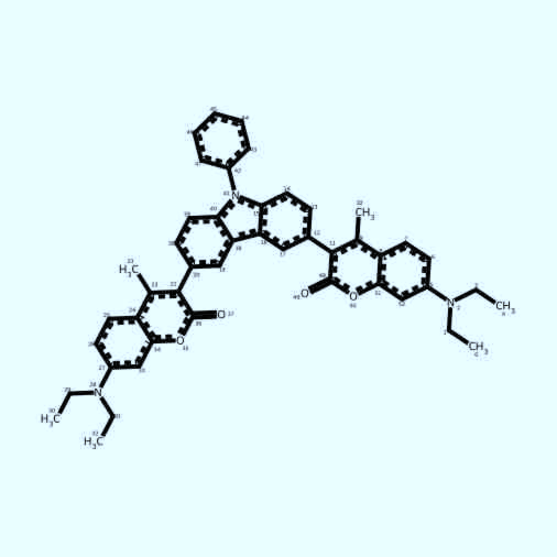 CCN(CC)c1ccc2c(C)c(-c3ccc4c(c3)c3cc(-c5c(C)c6ccc(N(CC)CC)cc6oc5=O)ccc3n4-c3ccccc3)c(=O)oc2c1